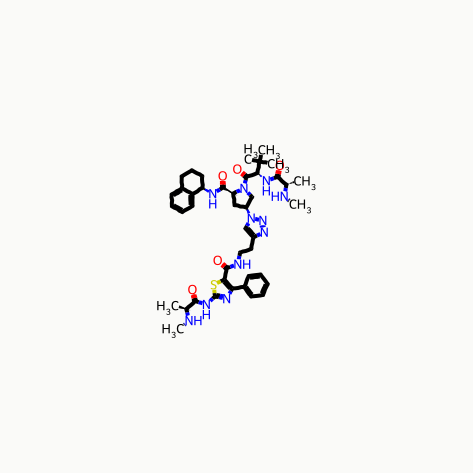 CN[C@@H](C)C(=O)Nc1nc(-c2ccccc2)c(C(=O)NCCc2cn([C@H]3C[C@@H](C(=O)N[C@@H]4CCCc5ccccc54)N(C(=O)[C@@H](NC(=O)[C@H](C)NC)C(C)(C)C)C3)nn2)s1